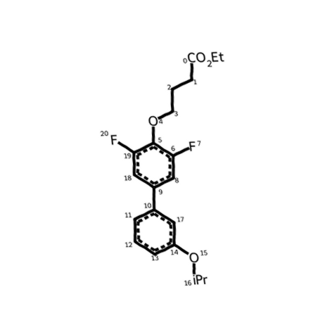 CCOC(=O)CCCOc1c(F)cc(-c2cccc(OC(C)C)c2)cc1F